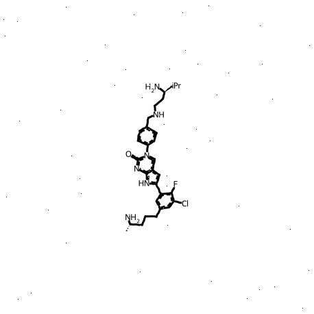 CC(C)[C@H](N)CCNCc1ccc(-n2cc3cc(-c4cc(CCC[C@H](C)N)cc(Cl)c4F)[nH]c3nc2=O)cc1